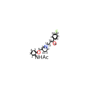 CC(=O)Nc1ccccc1OCC1CCCN(CCCC(=O)c2ccc(F)cc2)C1